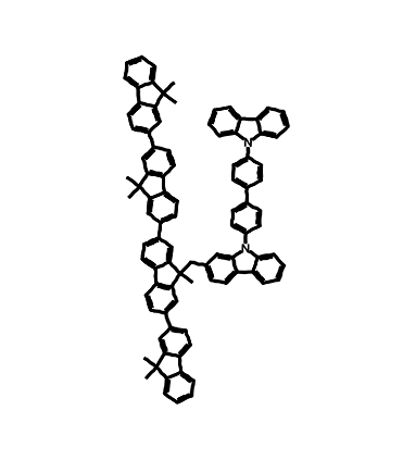 CC1(C)c2ccccc2-c2ccc(-c3ccc4c(c3)C(C)(C)c3cc(-c5ccc6c(c5)C(C)(Cc5ccc7c8ccccc8n(-c8ccc(-c9ccc(-n%10c%11ccccc%11c%11ccccc%11%10)cc9)cc8)c7c5)c5cc(-c7ccc8c(c7)C(C)(C)c7ccccc7-8)ccc5-6)ccc3-4)cc21